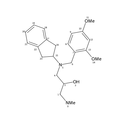 CNCC(O)CN(Cc1ccc(OC)cc1OC)C1Cc2ccccc2C1